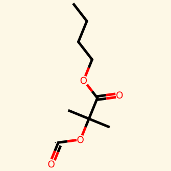 CCCCOC(=O)C(C)(C)O[C]=O